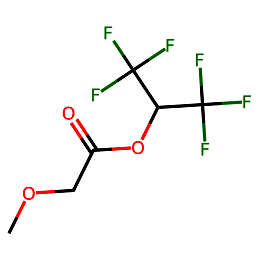 COCC(=O)OC(C(F)(F)F)C(F)(F)F